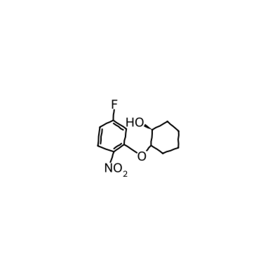 O=[N+]([O-])c1ccc(F)cc1OC1CCCC[C@@H]1O